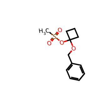 CS(=O)(=O)OC1(OCc2ccccc2)CCC1